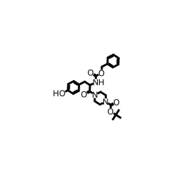 CC(C)(C)OC(=O)N1CCN(C(=O)C(Cc2ccc(O)cc2)NC(=O)OCc2ccccc2)CC1